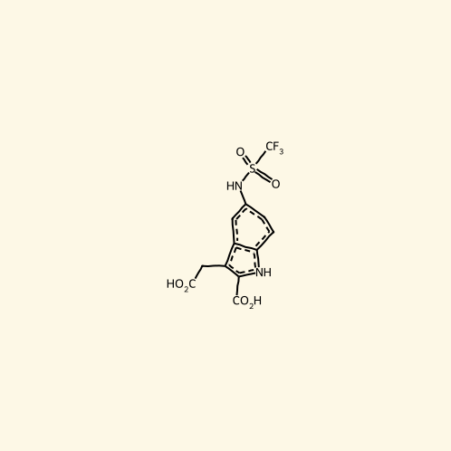 O=C(O)Cc1c(C(=O)O)[nH]c2ccc(NS(=O)(=O)C(F)(F)F)cc12